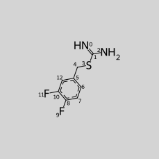 N=C(N)SCc1ccc(F)c(F)c1